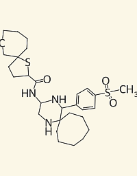 CS(=O)(=O)c1ccc(C2NC(NC(=O)C3CCC4(CCCCCC4)S3)CNC23CCCCCCC3)cc1